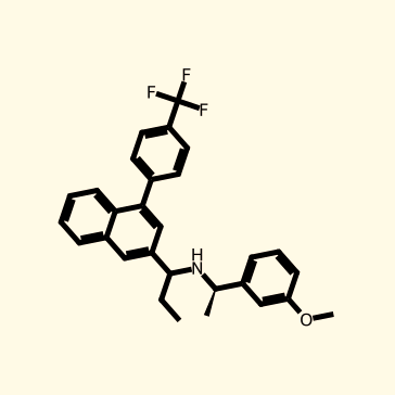 CCC(N[C@H](C)c1cccc(OC)c1)c1cc(-c2ccc(C(F)(F)F)cc2)c2ccccc2c1